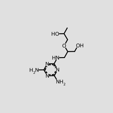 CC(O)COC(CO)CNc1nc(N)nc(N)n1